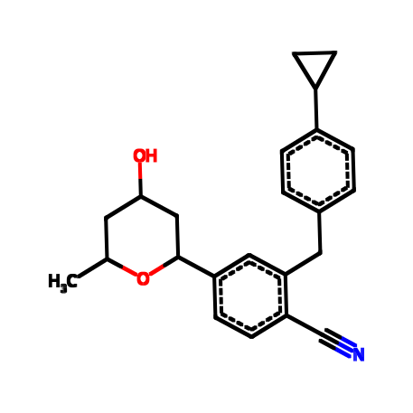 CC1CC(O)CC(c2ccc(C#N)c(Cc3ccc(C4CC4)cc3)c2)O1